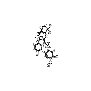 COc1ccc(C)cc1[C@]1(C(=O)O[C@H]2C(=O)OCC2(C)C)C[C@@H]1c1cnc(OC)c(F)c1